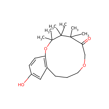 CC1(C)Oc2ccc(O)cc2CCCOCC(=O)C(C)(C)C1(C)C